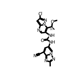 CO[C@@H](C)c1c(NC(=O)Nc2cc(C#N)c3nc(C)nn3c2)cnc2cc(Cl)nn12